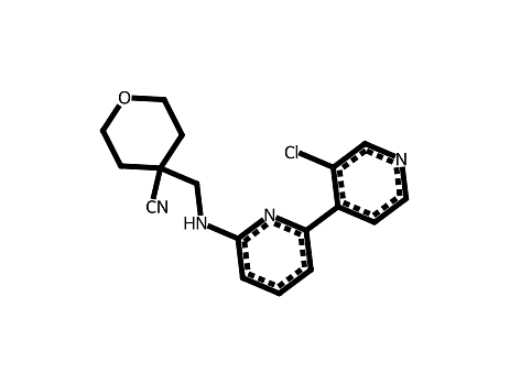 N#CC1(CNc2cccc(-c3ccncc3Cl)n2)CCOCC1